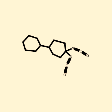 O=C=NC1(N=C=O)CCC(C2CCCCC2)CC1